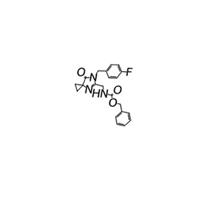 O=C(NCC1=NC2(CC2)C(=O)N1Cc1ccc(F)cc1)OCc1ccccc1